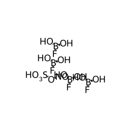 O=NOS(=O)(=O)O.OB(O)F.OB(O)F.OB(O)F.OB(O)F